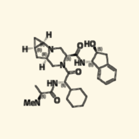 CN[C@@H](C)C(=O)N[C@H](C(=O)N1C[C@H]2C[C@H]3C[C@H]3N2C[C@H]1C(=O)N[C@H]1c2ccccc2C[C@@H]1O)C1CCCCC1